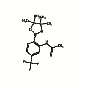 CC(=O)Nc1cc(C(F)(F)F)ccc1B1OC(C)(C)C(C)(C)O1